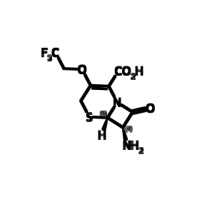 N[C@@H]1C(=O)N2C(C(=O)O)=C(OCC(F)(F)F)CS[C@@H]12